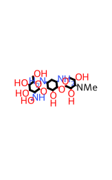 CN[C@@H]1C(O)[C@@H](OC2[C@H](N)CC(N)[C@@H](O[C@H]3OC(CO)[C@@H](O)[C@H](O)C3NO)[C@@H]2O)OC[C@H]1O